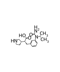 CC(C)N(C(N)=O)c1cccc(C[C@H](C(=O)O)[C@H]2CCNC2)c1